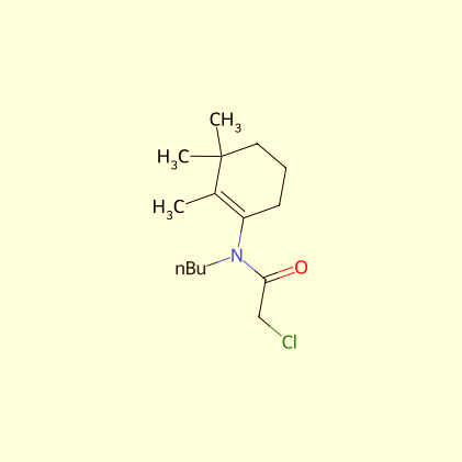 CCCCN(C(=O)CCl)C1=C(C)C(C)(C)CCC1